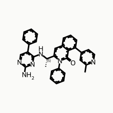 Cc1cc(-c2cccc3cc([C@H](C)Nc4nc(N)ncc4-c4ccccc4)n(-c4ccccc4)c(=O)c23)ccn1